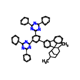 CC1CC2CC(C)C3(c4ccccc4-c4cc(-c5cc(-c6nc(-c7ccccc7)nc(-c7ccccc7)n6)cc(-c6nc(-c7ccccc7)nc(-c7ccccc7)n6)c5)ccc43)C(C1)C2